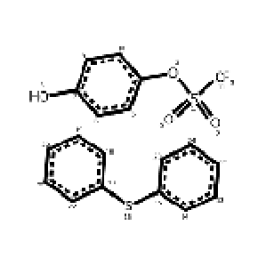 O=S(=O)(Oc1ccc(O)cc1)C(F)(F)F.c1ccc(Sc2ccccc2)cc1